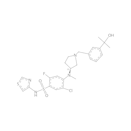 CN(c1cc(F)c(S(=O)(=O)Nc2cscn2)cc1Cl)[C@H]1CCN(Cc2cccc(C(C)(C)O)c2)C1